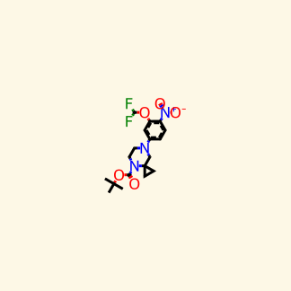 CC(C)(C)OC(=O)N1CCN(c2ccc([N+](=O)[O-])c(OC(F)F)c2)CC12CC2